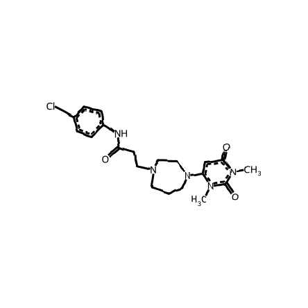 Cn1c(N2CCCN(CCC(=O)Nc3ccc(Cl)cc3)CC2)cc(=O)n(C)c1=O